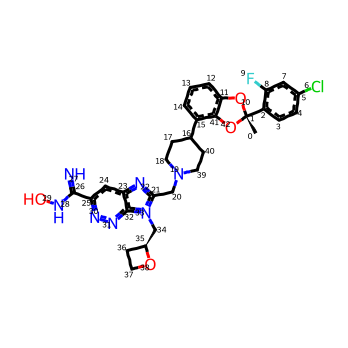 C[C@]1(c2ccc(Cl)cc2F)Oc2cccc(C3CCN(Cc4nc5cc(C(=N)NO)nnc5n4C[C@@H]4CCO4)CC3)c2O1